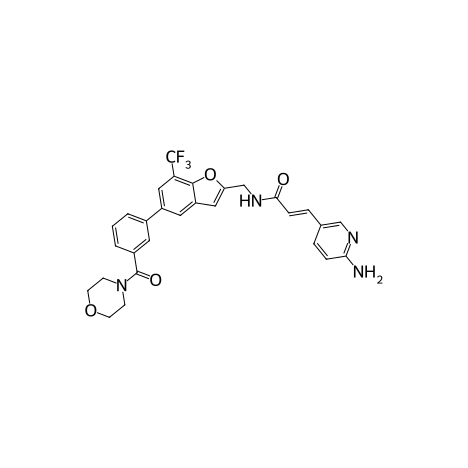 Nc1ccc(C=CC(=O)NCc2cc3cc(-c4cccc(C(=O)N5CCOCC5)c4)cc(C(F)(F)F)c3o2)cn1